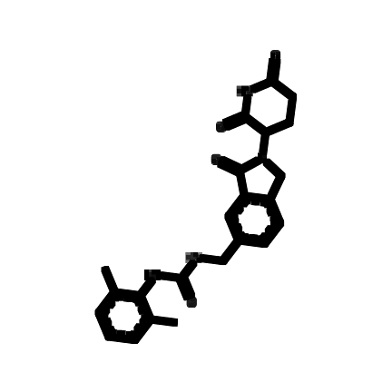 Cc1cccc(C)c1NC(=O)NCc1ccc2c(c1)C(=O)N(C1CCC(=O)NC1=O)C2